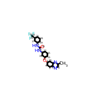 Cc1cnc2ccc(Oc3cccc(NC(=O)Nc4cccc(C(F)(F)F)c4)c3)cc2n1